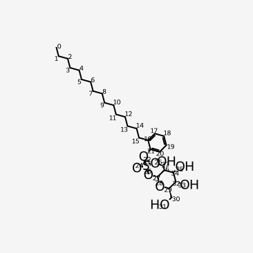 CCCCCCCCCCCCCCCCc1ccccc1OS(=O)(=O)O[C@@H]1O[C@H](CO)[C@@H](O)[C@H](O)[C@@H]1O